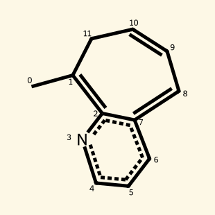 CC1=c2ncccc2=CC=CC1